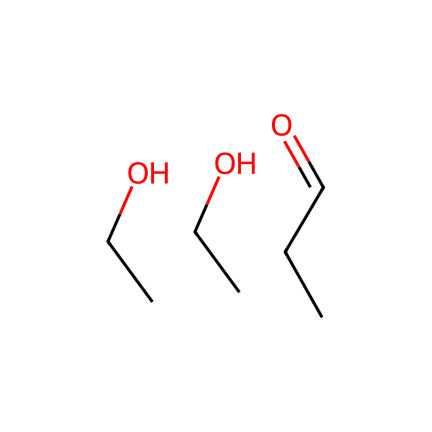 CCC=O.CCO.CCO